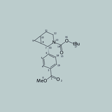 COC(=O)c1ccc([C@@H]2C3CC3CCN2C(=O)OC(C)(C)C)cc1